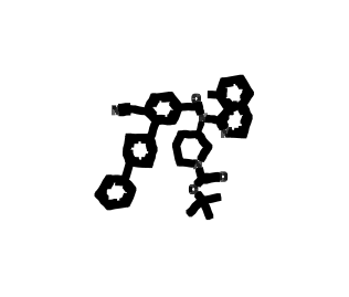 Cc1cccc2ccnc(N(C(=O)c3ccc(C#N)c(-c4ccc(-c5ccccc5)cc4)c3)[C@@H]3CCCN(C(=O)OC(C)(C)C)C3)c12